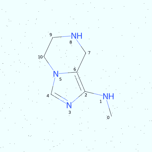 CNc1ncn2c1CNCC2